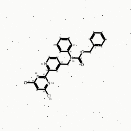 O=C(OCc1ccccc1)N(Cc1ccnc(-c2nc(Cl)cc(Cl)n2)c1)c1ccccc1